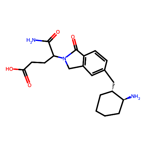 NC(=O)C(CCC(=O)O)N1Cc2cc(C[C@H]3CCCC[C@@H]3N)ccc2C1=O